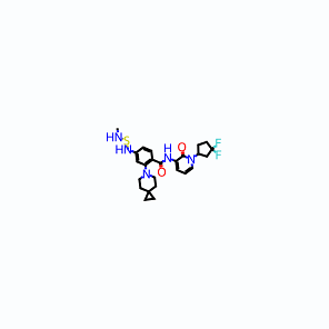 CNSNc1ccc(C(=O)Nc2cccn(C3CCC(F)(F)C3)c2=O)c(N2CCC3(CC2)CC3)c1